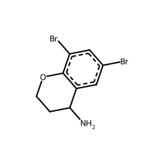 NC1CCOc2c(Br)cc(Br)cc21